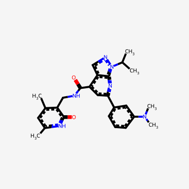 Cc1cc(C)c(CNC(=O)c2cc(-c3cccc(N(C)C)c3)nc3c2cnn3C(C)C)c(=O)[nH]1